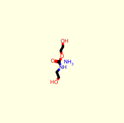 N.O=C(NCCO)OCCO